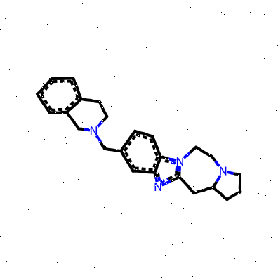 c1ccc2c(c1)CCN(Cc1ccc3c(c1)nc1n3CCN3CCCC3C1)C2